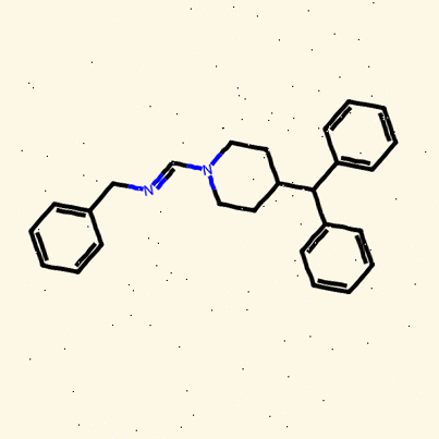 C(=NCc1ccccc1)N1CCC(C(c2ccccc2)c2ccccc2)CC1